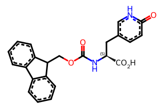 O=C(N[C@@H](Cc1ccc(=O)[nH]c1)C(=O)O)OCC1c2ccccc2-c2ccccc21